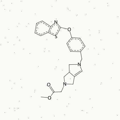 COC(=O)CN1CC2=CN(Cc3ccc(Oc4nc5ccccc5s4)cc3)CC2C1